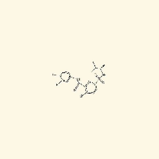 CC(C)[C@@H](C)NS(=O)(=O)c1ccc(Cl)c(C(=O)Nc2ccc(F)c(F)c2)c1